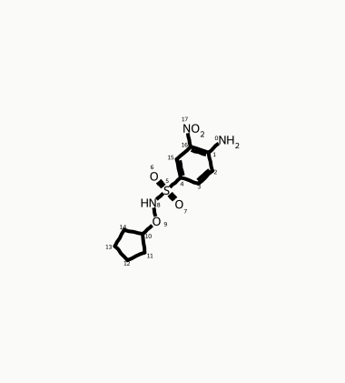 Nc1ccc(S(=O)(=O)NOC2CCCC2)cc1[N+](=O)[O-]